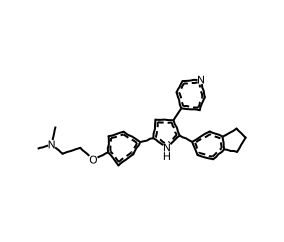 CN(C)CCOc1ccc(-c2cc(-c3ccncc3)c(-c3ccc4c(c3)CCC4)[nH]2)cc1